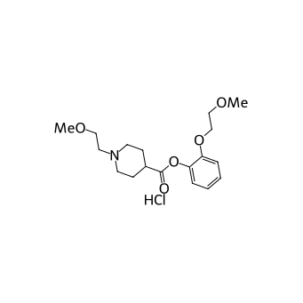 COCCOc1ccccc1OC(=O)C1CCN(CCOC)CC1.Cl